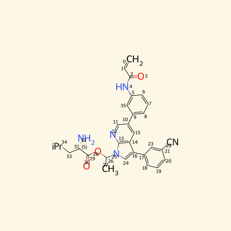 C=CC(=O)Nc1cccc(-c2cnc3c(c2)c(-c2cccc(C#N)c2)cn3C(C)OC(=O)[C@@H](N)CC(C)C)c1